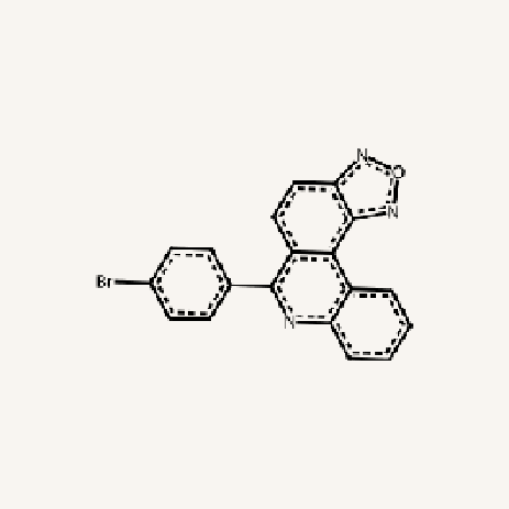 Brc1ccc(-c2nc3ccccc3c3c2ccc2nonc23)cc1